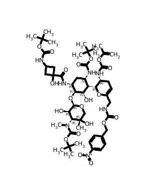 C=C(C)OC(=O)N[C@@H]1CC=C(CNC(=O)OCc2ccc([N+](=O)[O-])cc2)O[C@@H]1C1[C@@H](NC(=O)OC(C)(C)C)C[C@@H](NC(=O)C2(O)CC(NC(=O)OC(C)(C)C)C2)[C@H](O[C@H]2OC[C@](C)(O)[C@H](N(C)C(=O)OC(C)(C)C)[C@H]2O)[C@H]1O